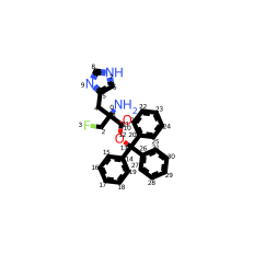 NC(CF)(Cc1c[nH]cn1)C(=O)OC(c1ccccc1)(c1ccccc1)c1ccccc1